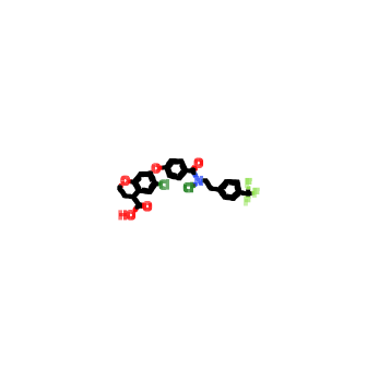 O=C(O)C1CCOc2cc(Oc3ccc(C(=O)N(Cl)CCc4ccc(C(F)(F)F)cc4)cc3)c(Cl)cc21